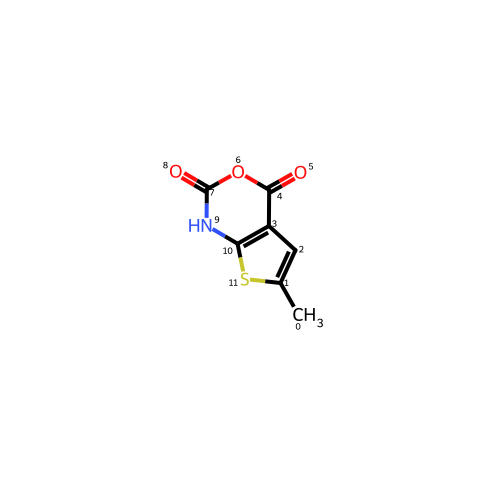 Cc1cc2c(=O)oc(=O)[nH]c2s1